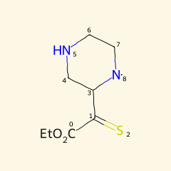 CCOC(=O)C(=S)C1CNCC[N]1